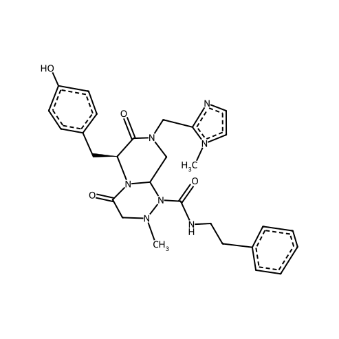 CN1CC(=O)N2C(CN(Cc3nccn3C)C(=O)[C@@H]2Cc2ccc(O)cc2)N1C(=O)NCCc1ccccc1